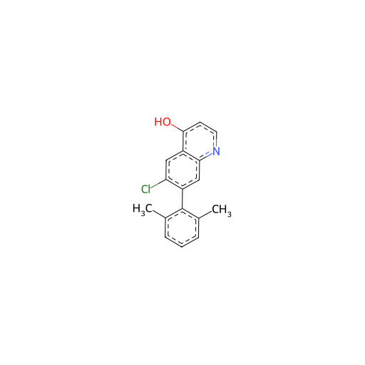 Cc1cccc(C)c1-c1cc2nccc(O)c2cc1Cl